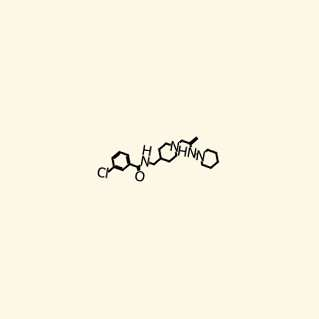 C=C(CN1CCC(CNC(=O)c2cccc(Cl)c2)CC1)NN1CCCCC1